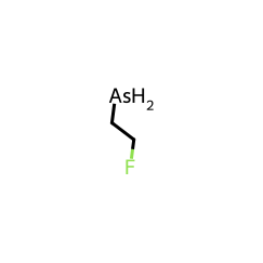 FCC[AsH2]